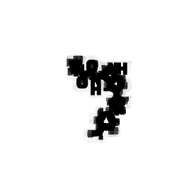 CCc1ccc(-n2cc(-c3ccc4[nH]cc(NC(=O)C(=O)N5CCC5)c4c3)cn2)cc1